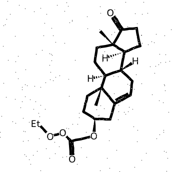 CCOOC(=O)O[C@H]1CC[C@@]2(C)C(=CC[C@@H]3[C@@H]2CC[C@]2(C)C(=O)CC[C@@H]32)C1